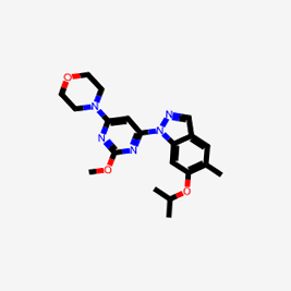 COc1nc(N2CCOCC2)cc(-n2ncc3cc(C)c(OC(C)C)cc32)n1